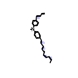 C=C/C=C/c1ccc(N(C)c2ccc(/C=C/C=C/C/C=C\C=C/C)cc2)cc1